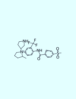 CC1CCC[N+]1(c1ccc(NC(=O)c2ccc(S(C)(=O)=O)cc2)c(C(F)(F)F)c1)C1CCNC1